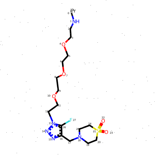 CC(C)NCCOCCOCCOCCn1nnc(CN2CCS(=O)(=O)CC2)c1F